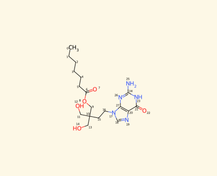 CCCCCCC(=O)OCC(CO)(CO)CCn1cnc2c(=O)[nH]c(N)nc21